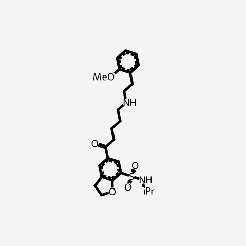 COc1ccccc1CCNCCCCC(=O)c1cc2c(c(S(=O)(=O)NC(C)C)c1)OCC2